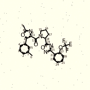 Cc1cccc(-c2oc(C)nc2C(=O)N2CCCC2c2nc(-c3ccccc3OC(F)(F)F)no2)c1